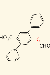 O=COc1cc(-c2ccccc2)c(C(=O)O)cc1-c1ccccc1